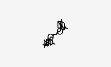 CC(C)CC(C)(N=NC(C)(C)C)OCCCCOC(C)(CC(C)C)N=NC(C)(C)C